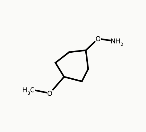 COC1CCC(ON)CC1